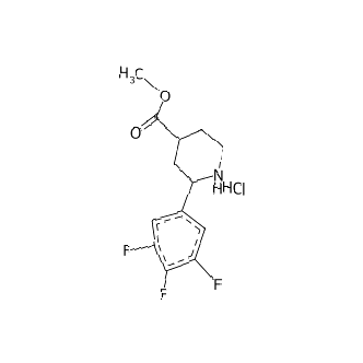 COC(=O)C1CCNC(c2cc(F)c(F)c(F)c2)C1.Cl